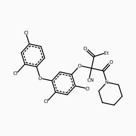 CCC(=O)C(C#N)(Oc1cc(Oc2ccc(Cl)cc2Cl)c(Cl)cc1Cl)C(=O)N1CCCCC1